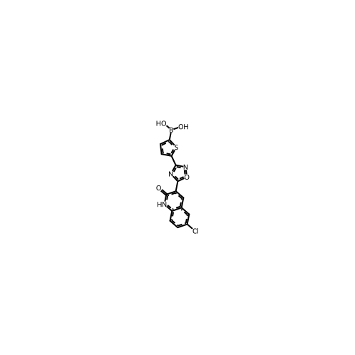 O=c1[nH]c2ccc(Cl)cc2cc1-c1nc(-c2ccc(B(O)O)s2)no1